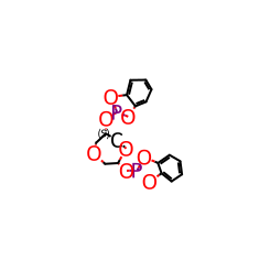 c1ccc2c(c1)OP(OC1COC[C@H](OP3Oc4ccccc4O3)CO1)O2